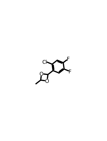 CC1OC(c2cc(F)c(F)cc2Cl)O1